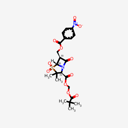 CC(C)(C)C(=O)OCOC(=O)[C@@H]1N2C(=O)[C@H](COC(=O)c3ccc([N+](=O)[O-])cc3)[C@H]2S(=O)(=O)C1(C)C